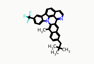 Cc1c2ccc(CC(C)(C)C)cc2cc2c3nccc4ccc5c6cc(C(F)(F)F)ccc6n(c12)c5c43